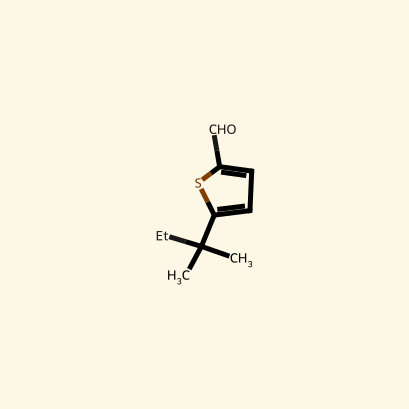 CCC(C)(C)c1ccc(C=O)s1